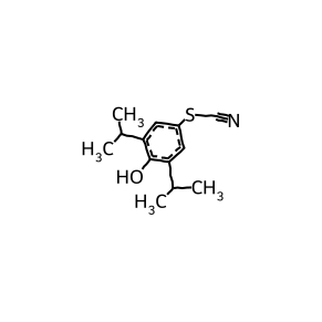 CC(C)c1cc(SC#N)cc(C(C)C)c1O